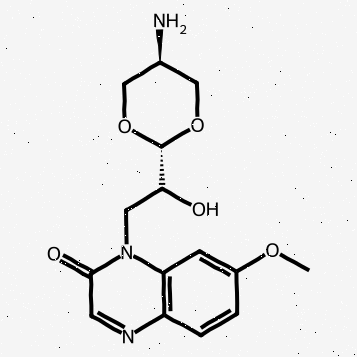 COc1ccc2ncc(=O)n(CC(O)[C@H]3OC[C@H](N)CO3)c2c1